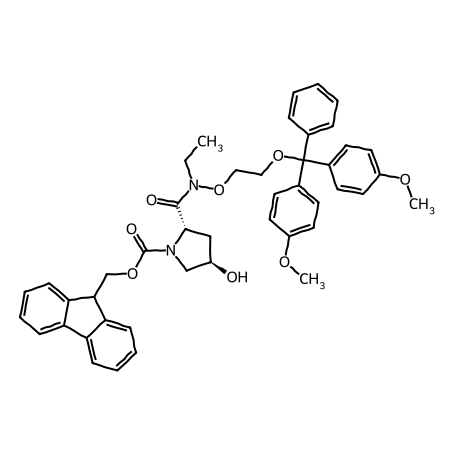 CCN(OCCOC(c1ccccc1)(c1ccc(OC)cc1)c1ccc(OC)cc1)C(=O)[C@@H]1C[C@@H](O)CN1C(=O)OCC1c2ccccc2-c2ccccc21